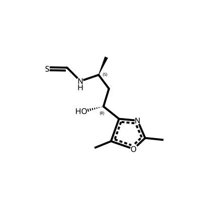 Cc1nc([C@H](O)C[C@H](C)NC=S)c(C)o1